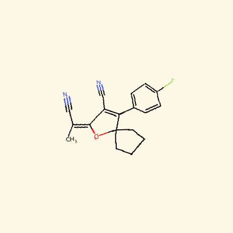 C/C(C#N)=C1\OC2(CCCC2)C(c2ccc(F)cc2)=C1C#N